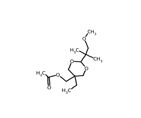 CCC1(COC(C)=O)COC(C(C)(C)COC)OC1